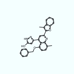 Cc1c(-c2cc(-c3cc(O)[nH]n3)c3c(OCc4ccccc4)ccc(C)c3n2)oc2ccccc12